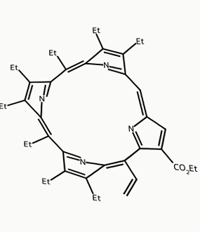 C=CC1=C2N=C(C(CC)=C2CC)C(CC)=C2N=C(C(CC)=C2CC)C(CC)=C2N=C(C=C3C=C(C(=O)OCC)C1=N3)C(CC)=C2CC